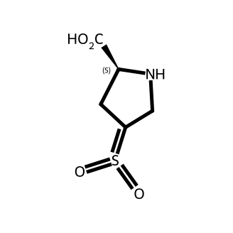 O=C(O)[C@@H]1CC(=S(=O)=O)CN1